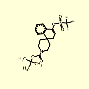 CC(C)(C)OC(=O)N1CCC2(CC=C(OS(=O)(=O)C(F)(F)F)c3ccccc32)CC1